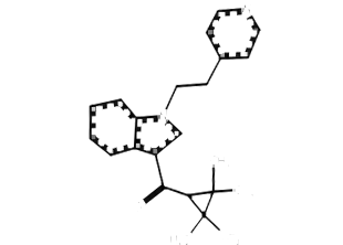 CC1(C)C(C(=O)c2cn(CCc3ccncc3)c3ccccc23)C1(C)C